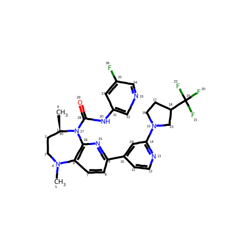 C[C@@H]1CCN(C)c2ccc(-c3ccnc(N4CCC(C(F)(F)F)C4)c3)nc2N1C(=O)Nc1cncc(F)c1